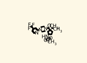 CC(C)[C@]1(C(=O)N2CCN(c3cc(C(F)(F)F)ccn3)CC2)CC[C@@H](NS(C)(=O)=O)C1